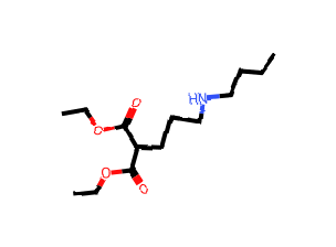 CCCCNCCCC(C(=O)OCC)C(=O)OCC